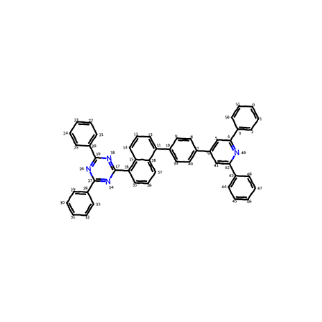 c1ccc(-c2cc(-c3ccc(-c4cccc5c(-c6nc(-c7ccccc7)nc(-c7ccccc7)n6)cccc45)cc3)cc(-c3ccccc3)n2)cc1